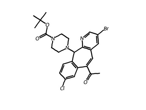 CC(=O)C1=Cc2cc(Br)cnc2C(N2CCN(C(=O)OC(C)(C)C)CC2)c2ccc(Cl)cc21